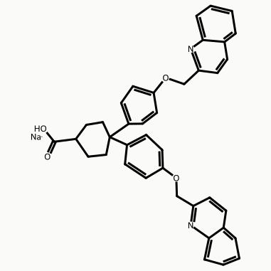 O=C(O)C1CCC(c2ccc(OCc3ccc4ccccc4n3)cc2)(c2ccc(OCc3ccc4ccccc4n3)cc2)CC1.[Na]